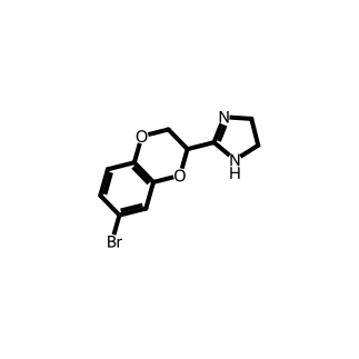 Brc1ccc2c(c1)OC(C1=NCCN1)CO2